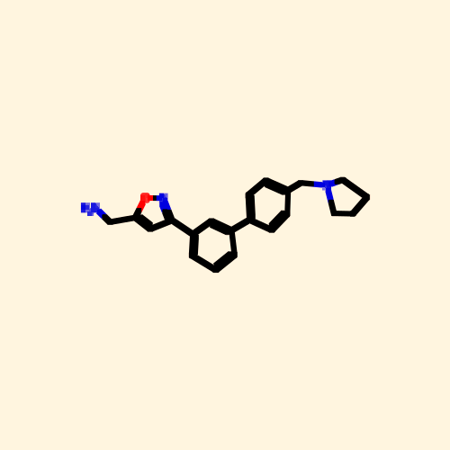 NCc1cc(-c2cccc(-c3ccc(CN4CCCC4)cc3)c2)no1